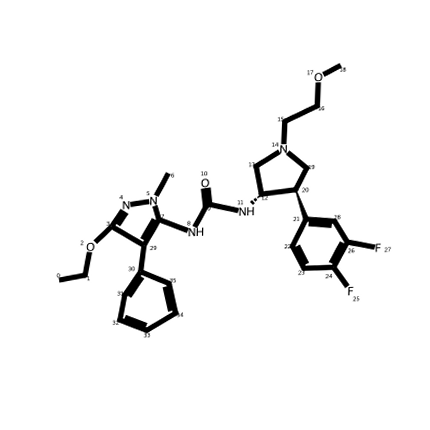 CCOc1nn(C)c(NC(=O)N[C@@H]2CN(CCOC)C[C@H]2c2ccc(F)c(F)c2)c1-c1ccccc1